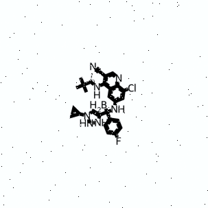 BC(Nc1cc(Cl)c2ncc(C#N)c(N[C@@H](C)C(C)(C)C)c2c1)(C1=CN(C2CC2)NN1)c1ccc(F)cc1